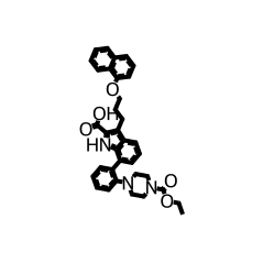 CCOC(=O)N1CCN(c2ccccc2-c2cccc3c(CCCOc4cccc5ccccc45)c(C(=O)O)[nH]c23)CC1